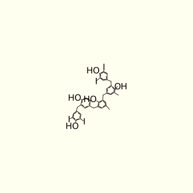 Cc1cc(Cc2ccc(O)c(Cc3cc(I)c(O)c(I)c3)c2)c(O)c(Cc2cc(C)c(O)c(Cc3cc(I)c(O)c(I)c3)c2)c1